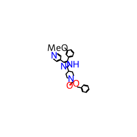 COc1cccc(-c2[nH]c(C3CCN(C(=O)OCc4ccccc4)CC3)nc2-c2ccncc2)c1